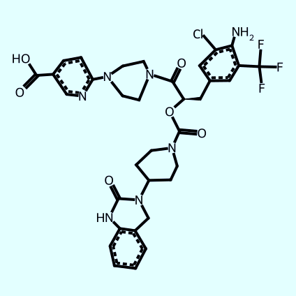 Nc1c(Cl)cc(C[C@@H](OC(=O)N2CCC(N3Cc4ccccc4NC3=O)CC2)C(=O)N2CCN(c3ccc(C(=O)O)cn3)CC2)cc1C(F)(F)F